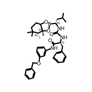 CC(C)C[C@H](NC(=O)N[C@@H](Cc1ccccc1)C(=O)Nc1cccc(OCc2ccccc2)c1)B1OC2CCC(C)(C)[C@@H](C)[C@@]2(C)O1